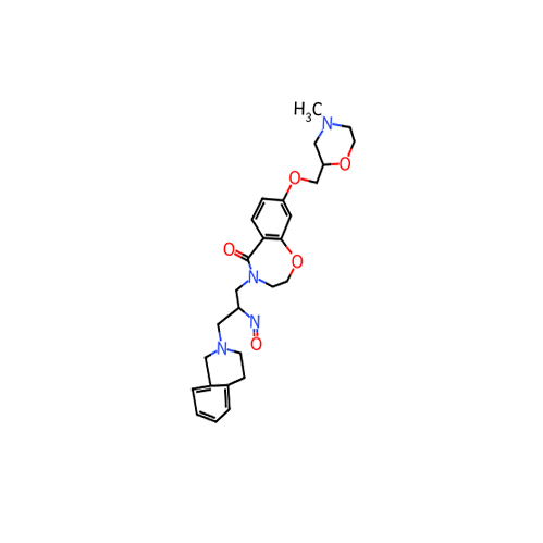 CN1CCOC(COc2ccc3c(c2)OCCN(CC(CN2CCc4ccccc4C2)N=O)C3=O)C1